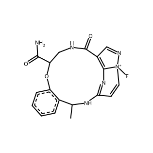 CC1NC2=NC3=C(C=N[N+]3(F)C=C2)C(=O)NCC(C(N)=O)Oc2ccccc21